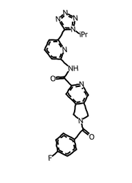 CC(C)n1nnnc1-c1cccc(NC(=O)c2cc3c(cn2)CN(C(=O)c2ccc(F)cc2)C3)n1